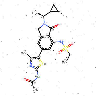 CCS(=O)(=O)Nc1cc(-c2sc(NC(C)=O)nc2C)cc2c1C(=O)N([C@@H](C)C1CC1)C2